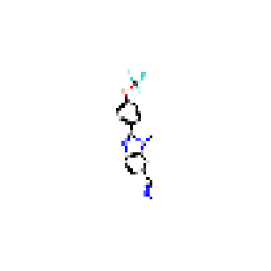 C/N=C/c1ccc2nc(-c3ccc(OC(F)(F)F)cc3)n(C)c2c1